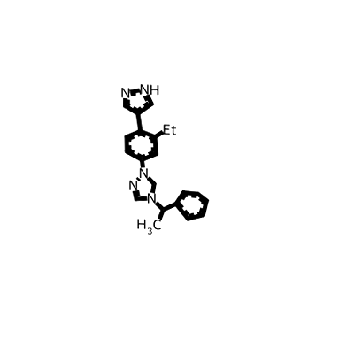 CCc1cc(N2CN(C(C)c3ccccc3)C=N2)ccc1-c1cn[nH]c1